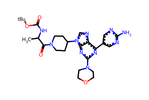 CC(NC(=O)OC(C)(C)C)C(=O)N1CCC(n2cnc3c(-c4cnc(N)nc4)nc(N4CCOCC4)nc32)CC1